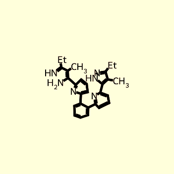 CCC(=N)/C(C)=C(\N)c1cccc(-c2ccccc2-c2cccc(-c3[nH]nc(CC)c3C)n2)n1